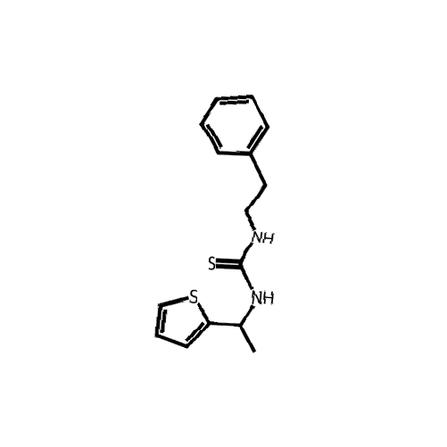 CC(NC(=S)NCCc1ccccc1)c1cccs1